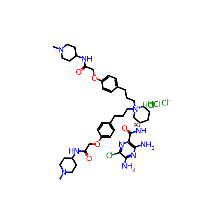 CN1CCC(NC(=O)COc2ccc(CCC[N+]3(CCCc4ccc(OCC(=O)NC5CCN(C)CC5)cc4)CCC[C@H](NC(=O)c4nc(Cl)c(N)nc4N)C3)cc2)CC1.Cl.Cl.[Cl-]